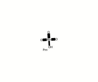 [O]=[Mn](=[O])(=[O])[OH].[Pm]